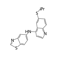 CC(C)Sc1ccc2nccc(Nc3ccc4scnc4c3)c2c1